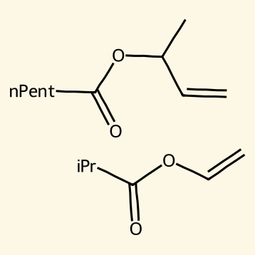 C=CC(C)OC(=O)CCCCC.C=COC(=O)C(C)C